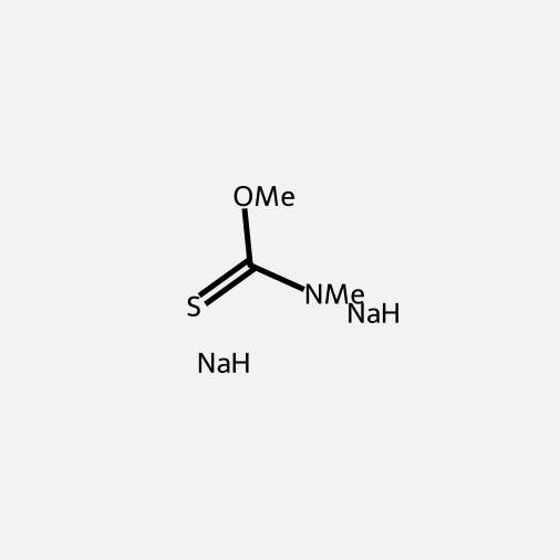 CNC(=S)OC.[NaH].[NaH]